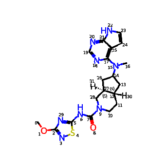 COc1nsc(NC(=O)N2CC[C@H]3CC(N(C)c4ncnc5[nH]ccc45)C[C@@H]3C2)n1